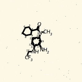 CN(C(=O)C1CCCCC1)c1ccc(NCC(F)(F)F)c(N)c1